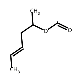 CC=CCC(C)O[C]=O